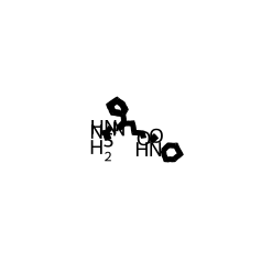 NC(=S)NN=C(CCCOC(=O)NC1CCCCC1)c1ccccc1